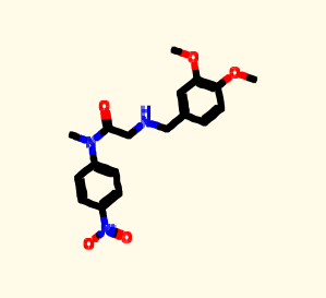 COc1ccc(CNCC(=O)N(C)c2ccc([N+](=O)[O-])cc2)cc1OC